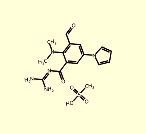 CN(C)c1c(C=O)cc(-n2cccc2)cc1C(=O)N=C(N)N.CS(=O)(=O)O